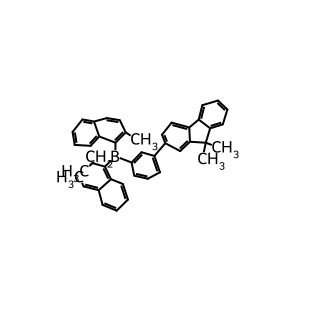 C=C(C)/C(B(c1cccc(-c2ccc3c(c2)C(C)(C)c2ccccc2-3)c1)c1c(C)ccc2ccccc12)=c1/cccc/c1=C/C